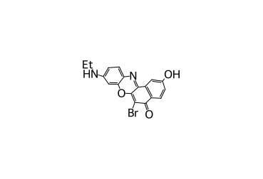 CCNc1ccc2nc3c4cc(O)ccc4c(=O)c(Br)c-3oc2c1